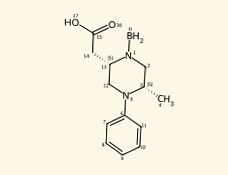 BN1C[C@H](C)N(c2ccccc2)C[C@@H]1CC(=O)O